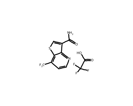 NC(=O)c1csc2c(C(F)(F)F)ccnc12.O=C(O)C(F)(F)F